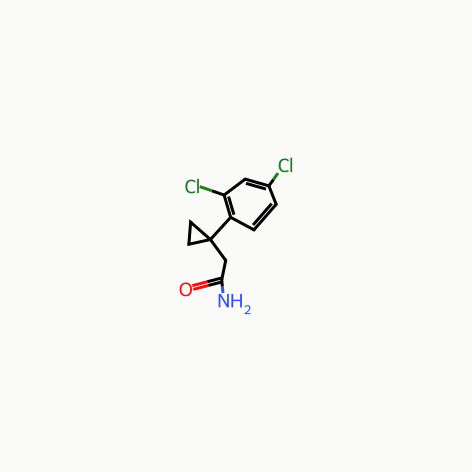 NC(=O)CC1(c2ccc(Cl)cc2Cl)CC1